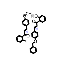 COc1ccc(/C=C/C(=O)c2ccccc2I)cc1.O=C(/C=C/c1ccc(OCc2ccccc2)cc1)c1ccccc1O